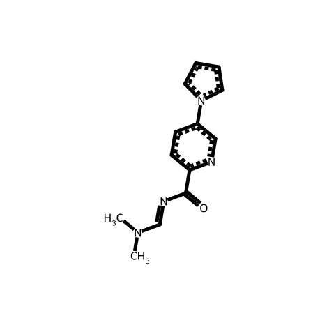 CN(C)C=NC(=O)c1ccc(-n2cccc2)cn1